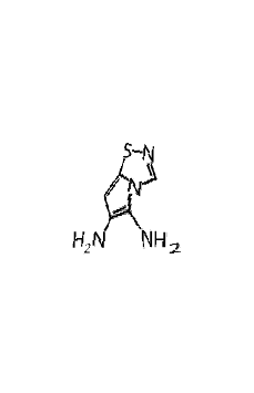 Nc1cc2sncn2c1N